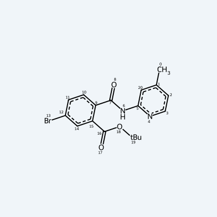 Cc1ccnc(NC(=O)c2ccc(Br)cc2C(=O)OC(C)(C)C)c1